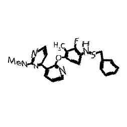 CNc1nccc(-c2cccnc2Oc2ccc(NSCc3ccccc3)c(F)c2C)n1